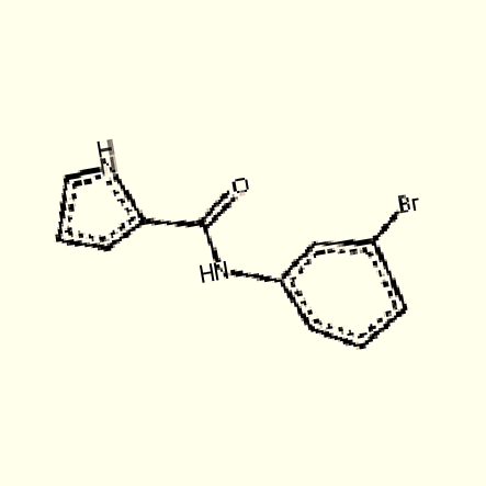 O=C(Nc1cccc(Br)c1)c1ccc[nH]1